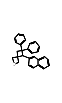 c1ccc(C2(c3ccccc3)CC3(COC3)C2c2ccc3ccccc3c2)cc1